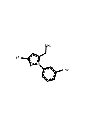 COc1cccc(-n2nc(C(C)(C)C)cc2CN)c1